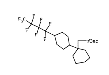 CCCCCCCCCCCC1(C2CCC(C(F)(F)C(F)(F)C(F)(F)C(F)(F)F)CC2)CCCCC1